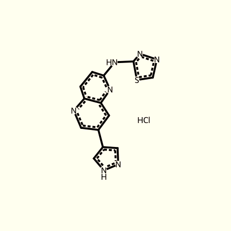 Cl.c1nnc(Nc2ccc3ncc(-c4cn[nH]c4)cc3n2)s1